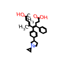 C\C(O)=C/C=C(C)/C(C1=CCC(C2CCN(C3CC3)C2)C=C1)=C(\CCC(=O)O)C1=CCCC=C1